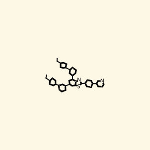 CCc1ccc(-c2cccc(-c3cc(-c4cccc(-c5ccc(CC)cc5)c4)c4nc(-c5ccc(-c6cccnc6)cc5)sc4c3)c2)cc1